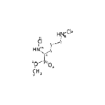 COC(=O)C(CCCNCl)NCl